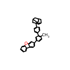 Cc1ccc(-c2ccc3c(c2)oc2ccccc23)cc1-c1ccc(C23CC4CC(CC(C4)C2)C3)cc1